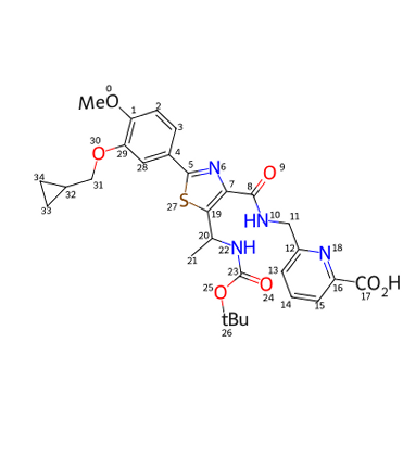 COc1ccc(-c2nc(C(=O)NCc3cccc(C(=O)O)n3)c(C(C)NC(=O)OC(C)(C)C)s2)cc1OCC1CC1